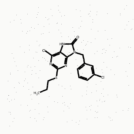 CCCSc1nc(Cl)c2[nH]c(=O)n(Cc3cccc(Cl)c3)c2n1